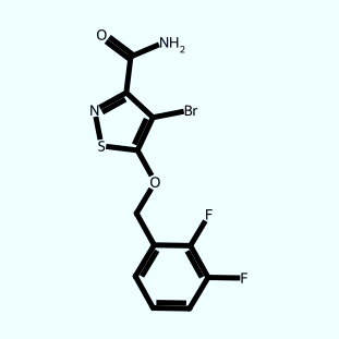 NC(=O)c1nsc(OCc2cccc(F)c2F)c1Br